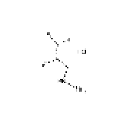 Cl.NNCC(F)C(F)F